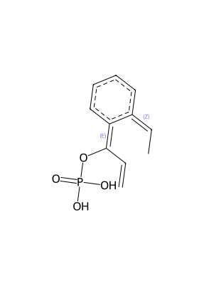 C=C/C(OP(=O)(O)O)=c1/cccc/c1=C/C